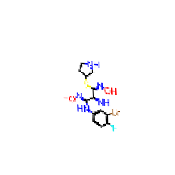 N=C(/C(=N/O)Nc1ccc(F)c(Br)c1)/C(=N\O)SC1CCNC1